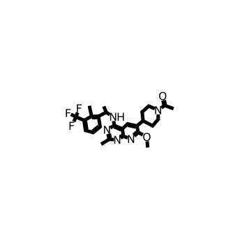 COc1nc2nc(C)nc(NC(C)c3cccc(C(F)(F)F)c3C)c2cc1C1CCN(C(C)=O)CC1